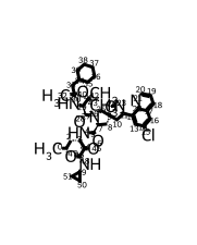 CCC[C@H](NC(=O)[C@@H]1C[C@]2(CC(c3cc(Cl)cc4cccnc34)=NO2)CN1C(=O)[C@H]1NC(C)(CC2CCCCC2)OC1(C)C)C(=O)C(=O)NC1CC1